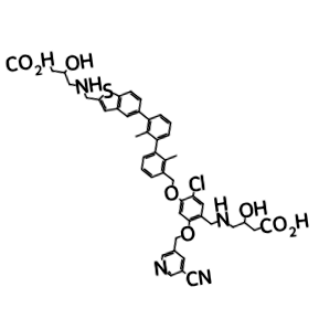 Cc1c(COc2cc(OCc3cncc(C#N)c3)c(CNCC(O)CC(=O)O)cc2Cl)cccc1-c1cccc(-c2ccc3sc(CNCC(O)CC(=O)O)cc3c2)c1C